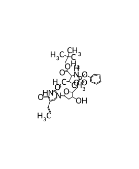 C/C=C/c1cn(C2CC(O)C(COP(=O)(N[C@H](C(=O)OCC(C)(C)C)C(C)C)Oc3ccccc3)O2)c(=O)[nH]c1=O